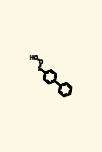 OOSc1ccc(-c2ccccc2)cc1